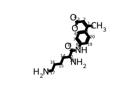 Cc1cc(=O)oc2cc(NC(=O)[C@@H](N)CCCCN)ccc12